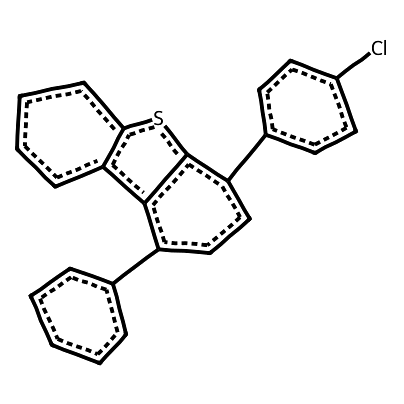 Clc1ccc(-c2ccc(-c3ccccc3)c3c2sc2ccccc23)cc1